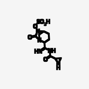 N=C(NC(=O)C1CN1)C1CCC2CN1C(=O)N2OS(=O)(=O)O